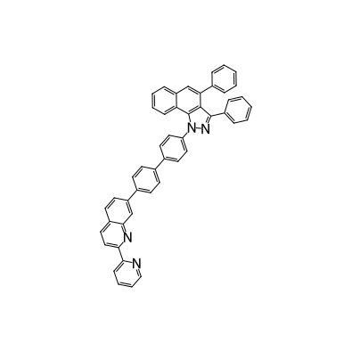 c1ccc(-c2cc3ccccc3c3c2c(-c2ccccc2)nn3-c2ccc(-c3ccc(-c4ccc5ccc(-c6ccccn6)nc5c4)cc3)cc2)cc1